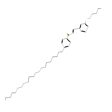 CCCCCCCCCCCCCCCCCCCCCc1ccc(C(=S)C=Cc2cccc(OCCCCC)c2)cc1